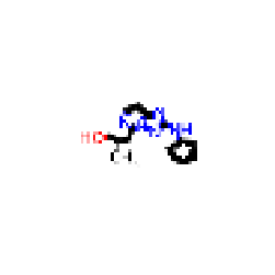 C[C@H](CO)Cc1nccc2nc(Nc3ccccc3)nn12